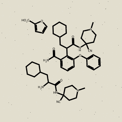 CN1CCC(C#N)(NC(=O)C(CC2CCCCC2)c2c(Oc3ccccc3)cccc2C(N)=O)CC1.CN1CCC(C#N)(NC(=O)C(N)CC2CCCCC2)CC1.O=C(O)c1ccco1